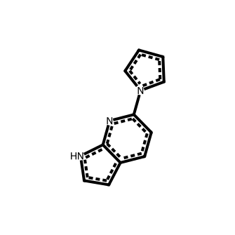 c1ccn(-c2ccc3cc[nH]c3n2)c1